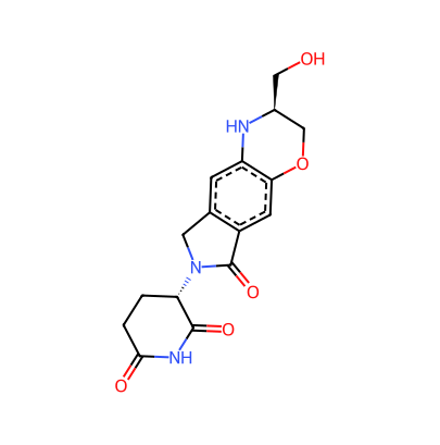 O=C1CC[C@H](N2Cc3cc4c(cc3C2=O)OC[C@H](CO)N4)C(=O)N1